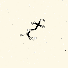 CC(C)[C@H](NCC(C)(C)C(C)C)C(=O)O